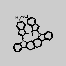 C1=C(n2c3c(c4ccccc42)CCCC3)[CH]([Hf][CH]2C(n3c4c(c5ccccc53)CCCC4)=Cc3ccccc32)c2ccccc21.CCl